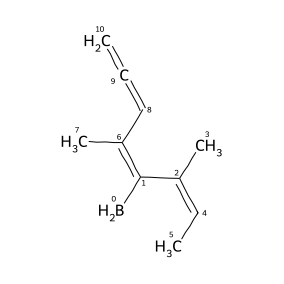 BC(/C(C)=C\C)=C(\C)C=C=C